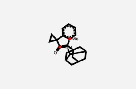 COC(=O)C12CC3CC(C1)C(NC(=O)C1(c4ccccc4)CC1)C(C3)C2